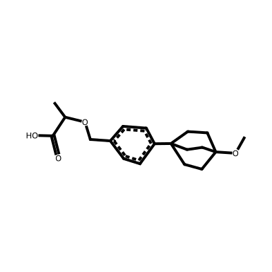 COC12CCC(c3ccc(COC(C)C(=O)O)cc3)(CC1)CC2